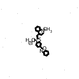 CN1/C(=C/c2cc[n+](C)c3ccccc23)Sc2cc(-c3nc4ccccc4o3)ccc21.[Cl-]